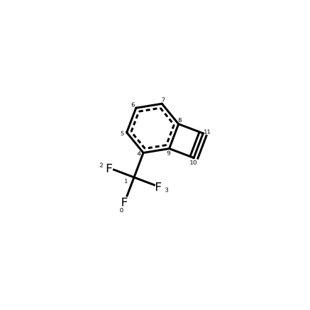 FC(F)(F)c1cccc2c1C#C2